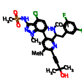 CNc1cc(-c2ccc(Cl)c3c(NS(C)(=O)=O)nn(C)c23)c(C(Cc2cc(F)cc(F)c2)NC(=O)O)nc1C#CC(C)(C)O